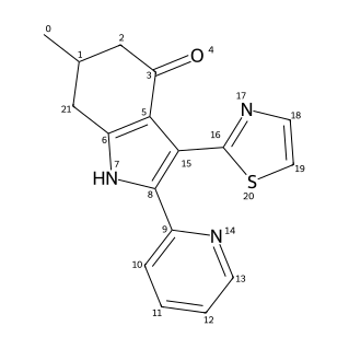 CC1CC(=O)c2c([nH]c(-c3ccccn3)c2-c2nccs2)C1